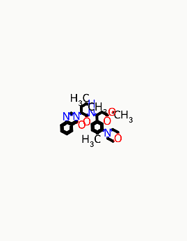 COC(=O)CC(NC(=O)C(CC(C)C)n1cnc2ccccc2c1=O)c1ccc(C)c(N2CCOCC2)c1